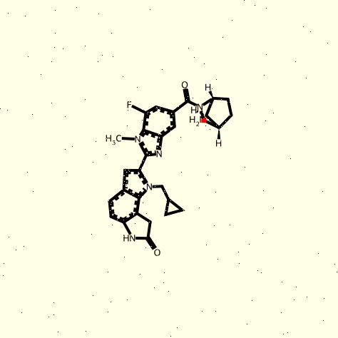 Cn1c(-c2cc3ccc4c(c3n2CC2CC2)CC(=O)N4)nc2cc(C(=O)N3C[C@H]4CC[C@@H]3[C@@H]4N)cc(F)c21